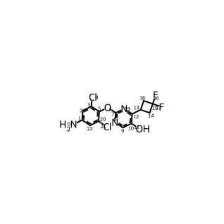 Nc1cc(Cl)c(Oc2ncc(O)c(C3CC(F)(F)C3)n2)c(Cl)c1